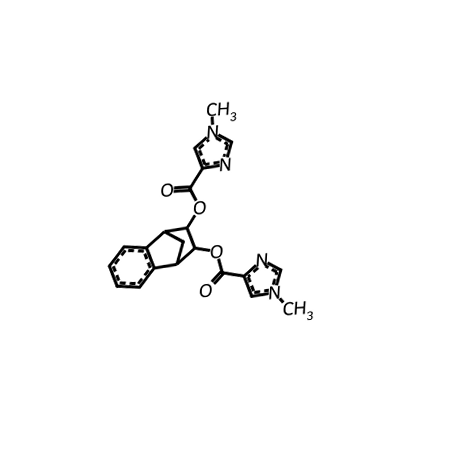 Cn1cnc(C(=O)OC2C3CC(c4ccccc43)C2OC(=O)c2cn(C)cn2)c1